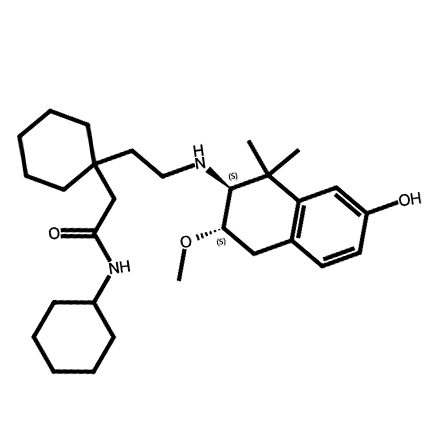 CO[C@H]1Cc2ccc(O)cc2C(C)(C)[C@@H]1NCCC1(CC(=O)NC2CCCCC2)CCCCC1